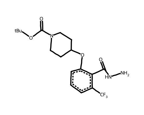 CC(C)(C)OC(=O)N1CCC(Oc2cccc(C(F)(F)F)c2C(=O)NN)CC1